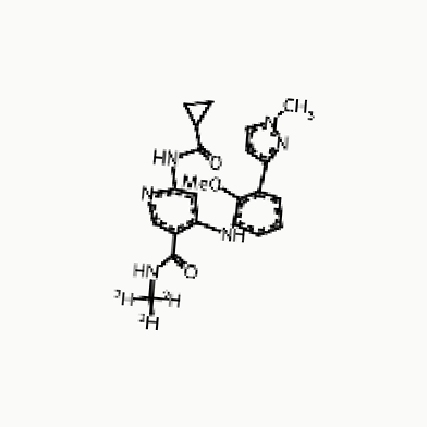 [2H]C([2H])([2H])NC(=O)c1cnc(NC(=O)C2CC2)cc1Nc1cccc(-c2ccn(C)n2)c1OC